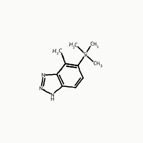 Cc1c([Si](C)(C)C)ccc2[nH]nnc12